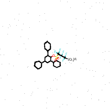 O=S(=O)(O)C(F)(F)C(F)(F)C(F)(F)S(=O)(=O)OC1C(C2CCCCC2)CC(C2CCCCC2)CC1C1CCCCC1